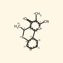 Cc1c(C#N)oc2c(c1=O)C(C)Sc1ccccc1-2